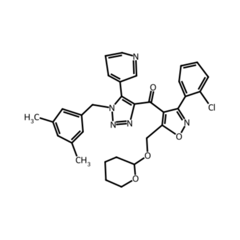 Cc1cc(C)cc(Cn2nnc(C(=O)c3c(-c4ccccc4Cl)noc3COC3CCCCO3)c2-c2cccnc2)c1